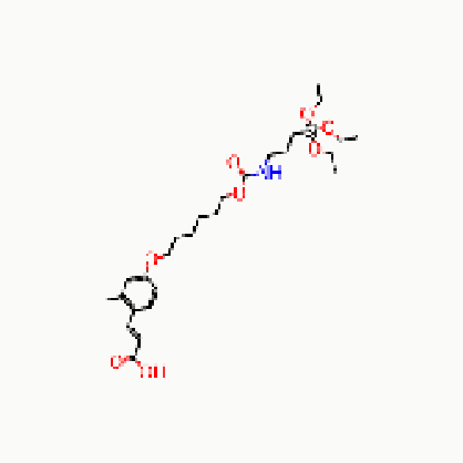 CCO[Si](CCCNC(=O)OCCCCCCOc1ccc(C=CC(=O)O)c(C)c1)(OCC)OCC